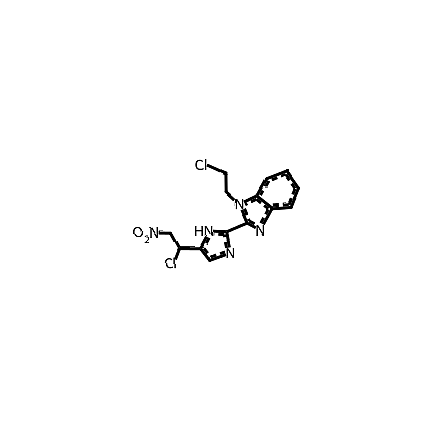 O=[N+]([O-])CC(Cl)c1cnc(-c2nc3ccccc3n2CCCl)[nH]1